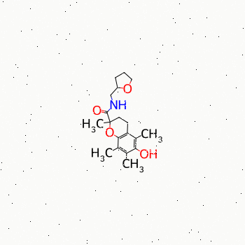 Cc1c(C)c2c(c(C)c1O)CCC(C)(C(=O)NCC1CCCO1)O2